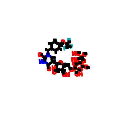 O=c1[nH]c(=O)n(Cc2ccc(OC(F)(F)F)cc2)cc1[C@@H]1O[C@H](COP(=O)(O)OP(=O)(O)OP(=O)(O)O)[C@@H](O)[C@H]1O